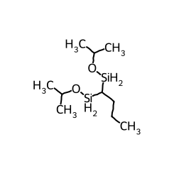 CCCC([SiH2]OC(C)C)[SiH2]OC(C)C